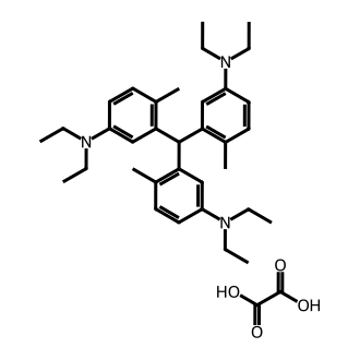 CCN(CC)c1ccc(C)c(C(c2cc(N(CC)CC)ccc2C)c2cc(N(CC)CC)ccc2C)c1.O=C(O)C(=O)O